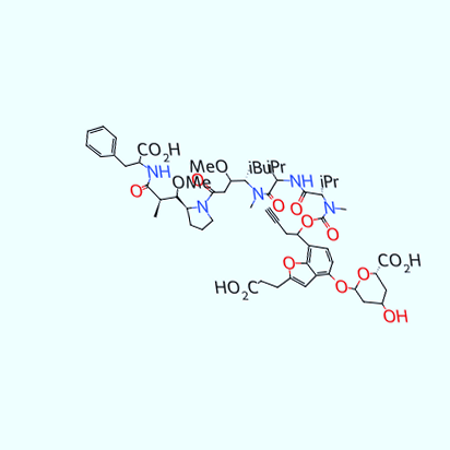 C#CCC(OC(=O)N(C)[C@H](C(=O)NC(C(=O)N(C)[C@@H](C(C)CC)C(CC(=O)N1CCC[C@H]1C(OC)[C@@H](C)C(=O)NC(Cc1ccccc1)C(=O)O)OC)C(C)C)C(C)C)c1ccc(OC2CC(O)C[C@@H](C(=O)O)O2)c2cc(CCC(=O)O)oc12